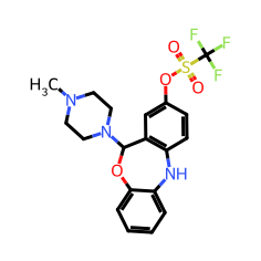 CN1CCN(C2Oc3ccccc3Nc3ccc(OS(=O)(=O)C(F)(F)F)cc32)CC1